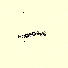 C=CC(=O)OCCOc1ccc(C(C)(C)c2ccc(O)cc2)cc1